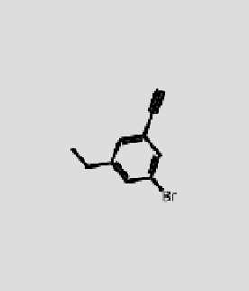 C#Cc1cc(Br)cc(CC)c1